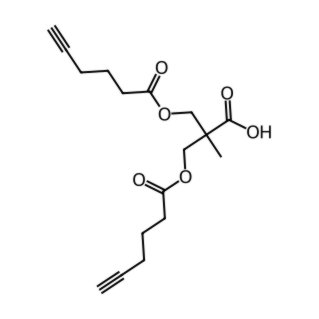 C#CCCCC(=O)OCC(C)(COC(=O)CCCC#C)C(=O)O